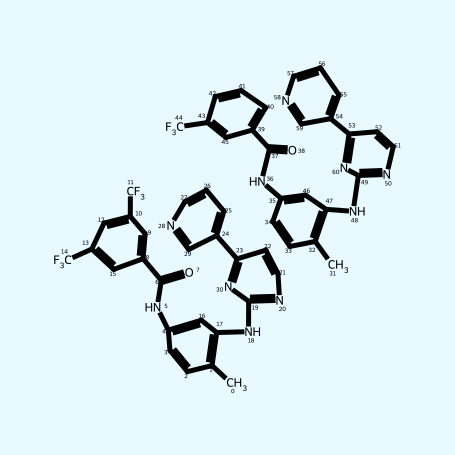 Cc1ccc(NC(=O)c2cc(C(F)(F)F)cc(C(F)(F)F)c2)cc1Nc1nccc(-c2cccnc2)n1.Cc1ccc(NC(=O)c2cccc(C(F)(F)F)c2)cc1Nc1nccc(-c2cccnc2)n1